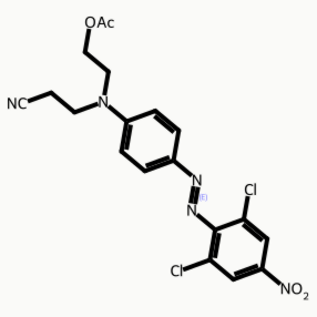 CC(=O)OCCN(CCC#N)c1ccc(/N=N/c2c(Cl)cc([N+](=O)[O-])cc2Cl)cc1